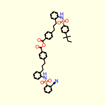 CCC(C)(C)c1ccc(S(=O)(=O)Nc2ccccc2CCCc2ccc(C(=O)OC(=O)c3ccc(CCCc4ccccc4NS(=O)(=O)c4ccccc4C#N)cc3)cc2)cc1